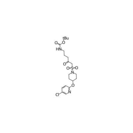 CC(C)(C)OC(=O)NCCCC(=O)CS(=O)(=O)N1CCC(Oc2ccc(Cl)cn2)CC1